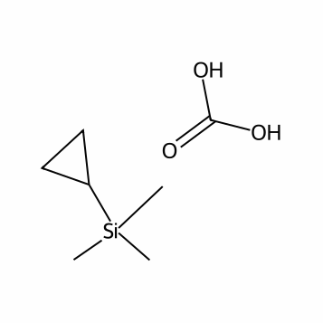 C[Si](C)(C)C1CC1.O=C(O)O